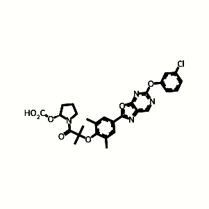 Cc1cc(-c2nc3cnc(Oc4cccc(Cl)c4)nc3o2)cc(C)c1OC(C)(C)C(=O)N1CCC[C@@H]1OC(=O)O